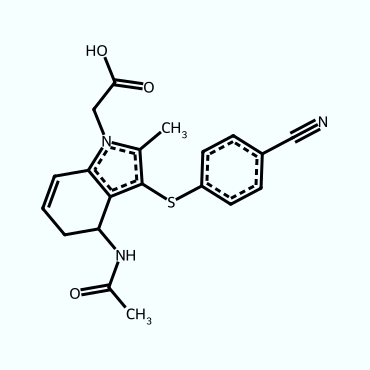 CC(=O)NC1CC=Cc2c1c(Sc1ccc(C#N)cc1)c(C)n2CC(=O)O